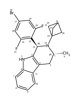 C[C@@H]1Cc2c([nH]c3ccccc23)[C@@H](c2c(F)cc(Br)cc2F)N1C12CC(C1)C2